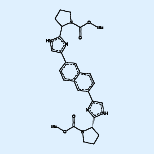 CC(C)(C)OC(=O)N1CCCC1c1nc(-c2ccc3cc(-c4c[nH]c([C@@H]5CCCN5C(=O)OC(C)(C)C)n4)ccc3c2)c[nH]1